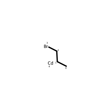 CCCBr.[Cd]